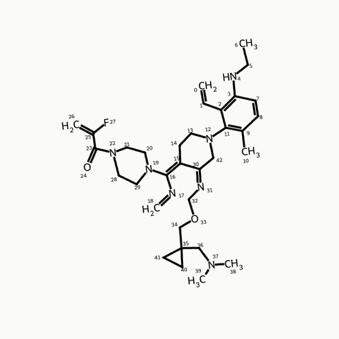 C=Cc1c(NCC)ccc(C)c1N1CCC(=C(/N=C)N2CCN(C(=O)C(=C)F)CC2)/C(=N\COCC2(CN(C)C)CC2)C1